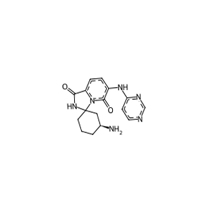 N[C@H]1CCCC2(C1)NC(=O)c1ccc(Nc3ccncn3)c(=O)n12